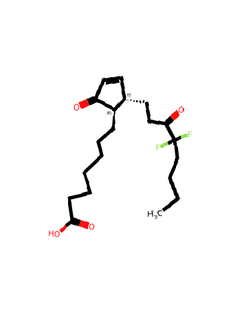 CCCCC(F)(F)C(=O)CC[C@H]1C=CC(=O)[C@@H]1CCCCCCC(=O)O